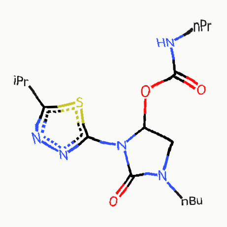 CCCCN1CC(OC(=O)NCCC)N(c2nnc(C(C)C)s2)C1=O